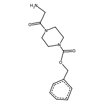 NCC(=O)N1CCN(C(=O)OCc2ccccc2)CC1